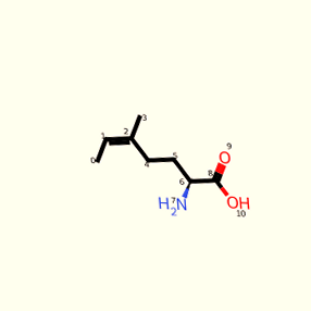 CC=C(C)CC[C@H](N)C(=O)O